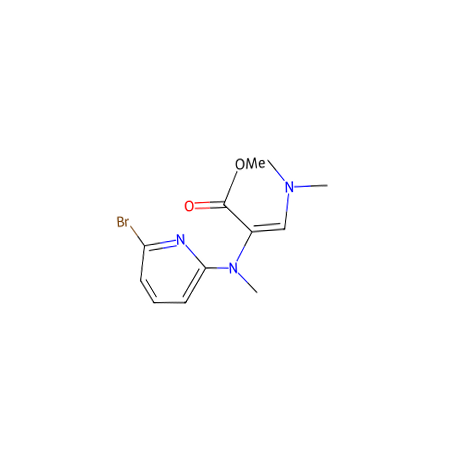 COC(=O)C(=CN(C)C)N(C)c1cccc(Br)n1